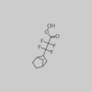 O=C(OO)C(F)(F)C(F)(F)C1CC2CCC1C2